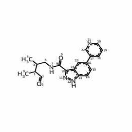 CC(C=O)C(C)CNC(=O)c1n[nH]c2ccc(-c3cccnc3)cc12